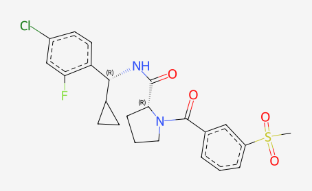 CS(=O)(=O)c1cccc(C(=O)N2CCC[C@@H]2C(=O)N[C@@H](c2ccc(Cl)cc2F)C2CC2)c1